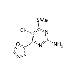 CSc1nc(N)nc(-c2ccco2)c1Cl